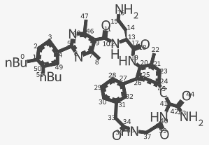 CCCCc1ccc(-c2nc(C)c(C(=O)N[C@@H](CCN)C(=O)Nc3c(C)cc4cc3-c3cccc(c3)CC(=O)NCC(=O)NC(C(N)=O)C4)c(C)n2)cc1CCCC